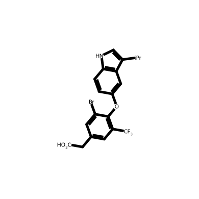 CC(C)c1c[nH]c2ccc(Oc3c(Br)cc(CC(=O)O)cc3C(F)(F)F)cc12